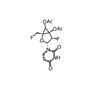 CC(=O)OC1[C@@]2(CF)O[C@@H](n3ccc(=O)[nH]c3=O)[C@H](F)[C@@]12OC(C)=O